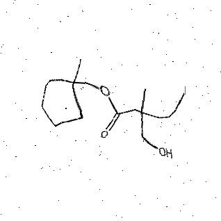 CC1(OC(=O)C(C)(CO)CI)CCCC1